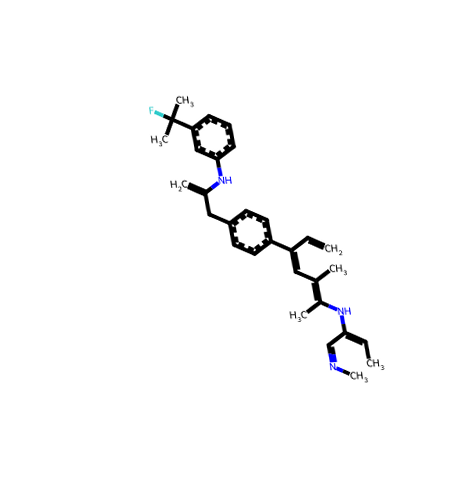 C=C/C(=C\C(C)=C(/C)NC(/C=N\C)=C/C)c1ccc(CC(=C)Nc2cccc(C(C)(C)F)c2)cc1